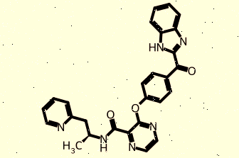 C[C@@H](Cc1ccccn1)NC(=O)c1nccnc1Oc1ccc(C(=O)c2nc3ccccc3[nH]2)cc1